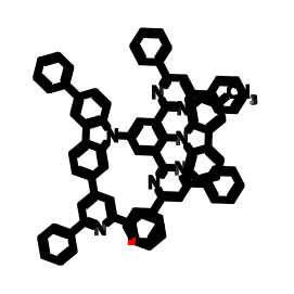 Cc1ccc2c(c1)c1ccccc1n2-c1c(-c2nc(-c3ccccc3)cc(-c3ccccc3)n2)cc(-n2c3ccc(-c4ccccc4)cc3c3ccc(-c4cc(-c5ccccc5)nc(-c5ccccc5)c4)cc32)cc1-c1nc(-c2ccccc2)cc(-c2ccccc2)n1